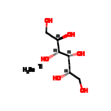 OC[C@@H](O)[C@@H](O)[C@H](O)[C@@H](O)CO.[BaH2].[Ti]